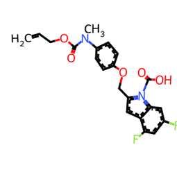 C=CCOC(=O)N(C)c1ccc(OCc2cc3c(F)cc(F)cc3n2C(=O)O)cc1